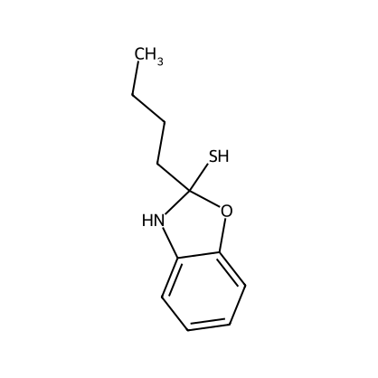 CCCCC1(S)Nc2ccccc2O1